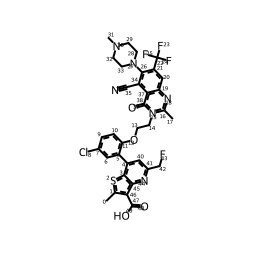 Cc1sc2c(-c3cc(Cl)ccc3OCCn3c(C)nc4cc(C(F)(F)F)c(N5CCN(C)CC5)c(C#N)c4c3=O)cc(CF)nc2c1C(=O)O